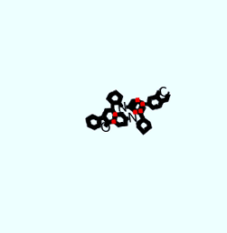 c1ccc(N(c2ccc(-c3ccc4ccccc4c3)cc2)c2ccccc2-n2c3ccccc3c3ccccc32)c(-c2ccc3oc4ccccc4c3c2)c1